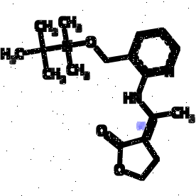 C/C(Nc1ncccc1CO[Si](C)(C)C(C)(C)C)=C1\CCOC1=O